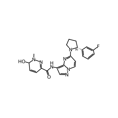 CN1N=C(C(=O)Nc2cnn3ccc(N4CCC[C@@H]4c4cccc(F)c4)nc23)C=CC1O